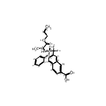 CCCOC(=O)[C@H](C)NP(=O)(Oc1ccccc1)C(F)(F)c1ccc2ccc(C(=O)O)cc2c1